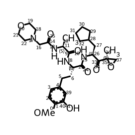 COc1ccc(CC[C@H](NC(=O)[C@H](C)NC(=O)CN2CCOCC2)C(=O)N[C@@H](CC2CCCC2)C(=O)[C@@]2(C)CO2)cc1O